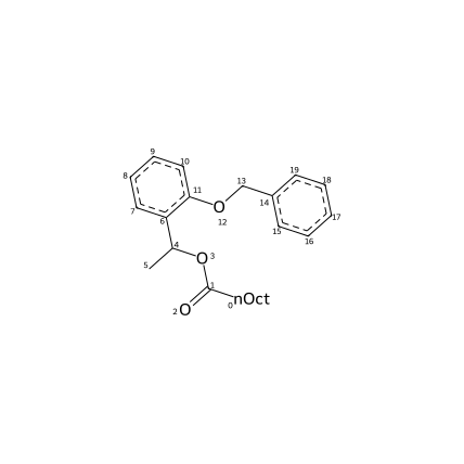 CCCCCCCCC(=O)OC(C)c1ccccc1OCc1ccccc1